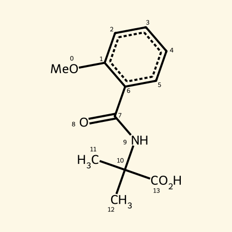 COc1ccccc1C(=O)NC(C)(C)C(=O)O